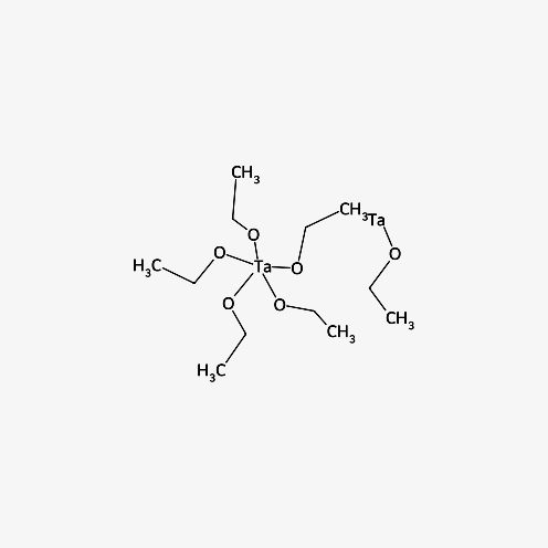 CC[O][Ta].CC[O][Ta]([O]CC)([O]CC)([O]CC)[O]CC